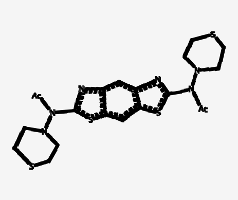 CC(=O)N(c1nc2cc3nc(N(C(C)=O)N4CCSCC4)sc3cc2s1)N1CCSCC1